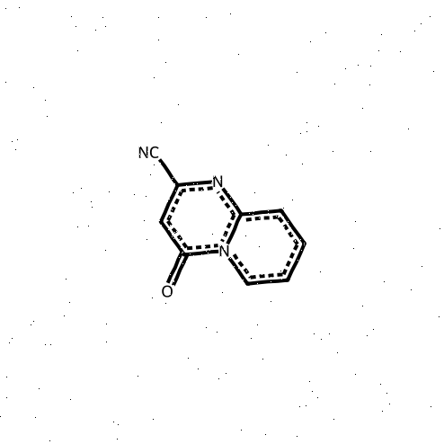 N#Cc1cc(=O)n2ccccc2n1